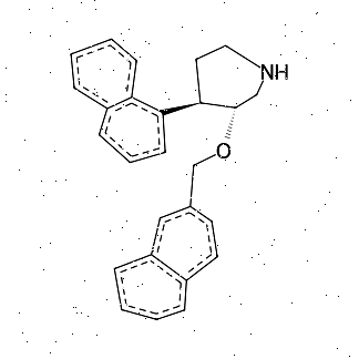 c1ccc2cc(CO[C@H]3CNCC[C@@H]3c3cccc4ccccc34)ccc2c1